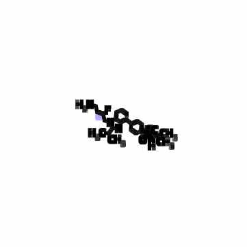 CC(C)c1nc2c(-c3ccc(S(=O)(=O)NC(C)(C)C)cc3)cccc2n1C/C(F)=C/CN